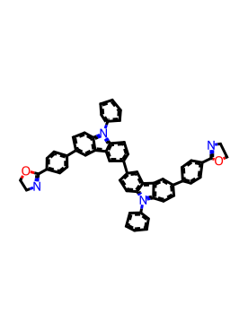 c1ccc(-n2c3ccc(-c4ccc(C5=NCCO5)cc4)cc3c3cc(-c4ccc5c(c4)c4cc(-c6ccc(C7=NCCO7)cc6)ccc4n5-c4ccccc4)ccc32)cc1